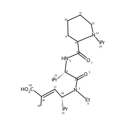 CCN(C(=O)[C@@H](NC(=O)C1CCCCN1C(C)C)C(C)C)[C@@H](/C=C(\C)C(=O)O)C(C)C